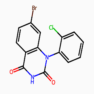 O=c1[nH]c(=O)n(-c2ccccc2Cl)c2cc(Br)ccc12